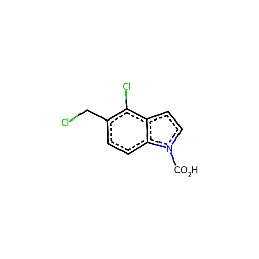 O=C(O)n1ccc2c(Cl)c(CCl)ccc21